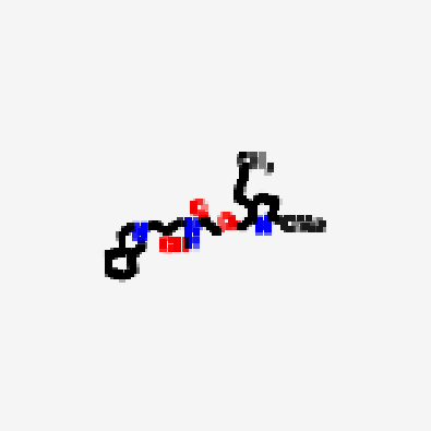 C=C/C=C\c1ccc(OC)nc1COCC(=O)NC[C@H](O)CN1CCc2ccccc2C1